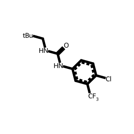 CC(C)(C)CNC(=O)Nc1ccc(Cl)c(C(F)(F)F)c1